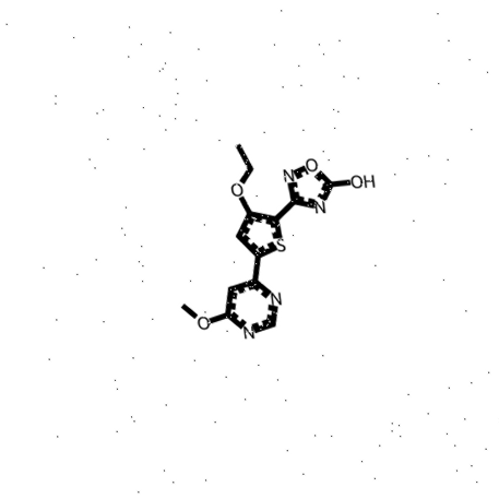 CCOc1cc(-c2cc(OC)ncn2)sc1-c1noc(O)n1